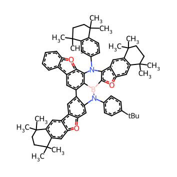 CC(C)(C)c1ccc(N2B3c4oc5cc6c(cc5c4N(c4ccc5c(c4)C(C)(C)CCC5(C)C)c4c3c(cc3c4oc4ccccc43)-c3cc4c(cc32)oc2cc3c(cc24)C(C)(C)CCC3(C)C)C(C)(C)CCC6(C)C)cc1